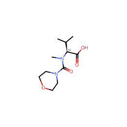 CC(C)[C@@H](C(=O)O)N(C)C(=O)N1CCOCC1